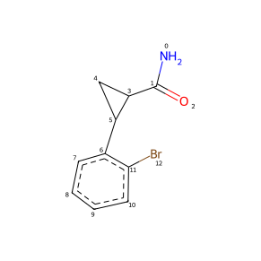 NC(=O)C1CC1c1ccccc1Br